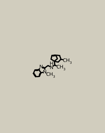 CC1CC2=CCC(C(C)NCc3nc4ccccc4n3C)(C2)C1